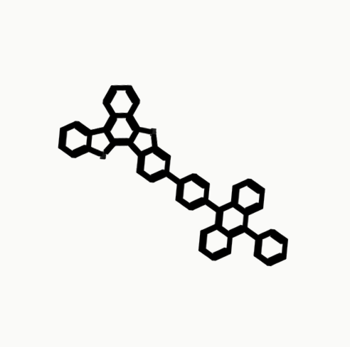 c1ccc(-c2c3ccccc3c(-c3ccc(-c4ccc5c(c4)sc4c6ccccc6c6c7ccccc7sc6c54)cc3)c3ccccc23)cc1